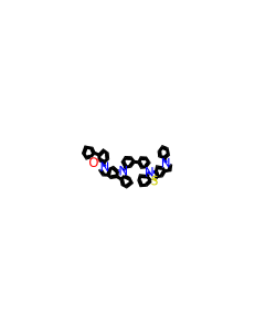 c1ccc(-n2ccc3cc4c(cc32)N(c2cccc(-c3cccc(-n5c6ccccc6c6cc7ccn(-c8cccc9c8oc8ccccc89)c7cc65)c3)c2)c2ccccc2S4)cc1